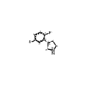 Fc1ccc(F)c([C@H]2CCNC2)c1